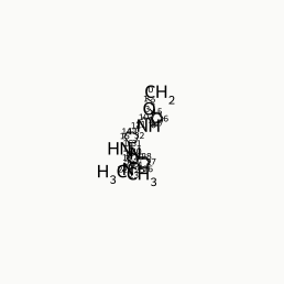 C=CCOc1ccccc1CNC[C@H]1CC[C@@H](Nc2cc(N(C)C)c3ccccc3n2)CC1